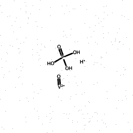 O=P(O)(O)O.[H+].[O]=[V+2]